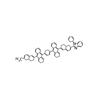 CC1=CC=C2C=C(c3c4c(c(C5=CC=C(c6c7c(c(C8=CC9=CC=C(c%10nc%11ccccc%11n%10C%10C=CC=CC%10)CC9CC8)c8ccccc68)=CCCC=7)CC5)c5ccccc35)=CCCC=4)CCC2C1